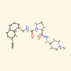 C#Cc1ccc2cccc(CNC(=O)N3CCC[C@H]3C(=O)NCC3CCN(C)CC3)c2c1